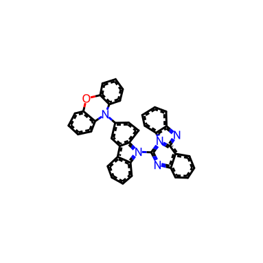 c1ccc2c(c1)Oc1ccccc1N2c1ccc2c(c1)c1ccccc1n2-c1nc2ccccc2c2nc3ccccc3n12